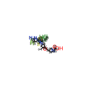 CCc1cc(N2C(=S)N(c3cnc(C#N)c(C(F)(F)F)c3)C(=O)C2(C)C)ccc1OCCC1CCN([C@@H](C)C(=O)O)CC1.Cl.Cl.Cl.Cl